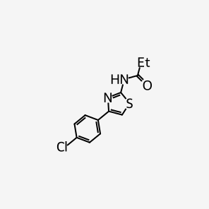 CCC(=O)Nc1nc(-c2ccc(Cl)cc2)cs1